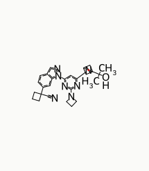 CC(C)(O)C12CC(C1)N(c1cc(-n3ncc4ccc(C5(C#N)CCC5)cc43)nc(N3CCC3)n1)C2